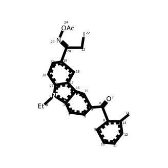 CCn1c2ccc(C(=O)c3ccccc3C)cc2c2cc(C(CI)=NOC(C)=O)ccc21